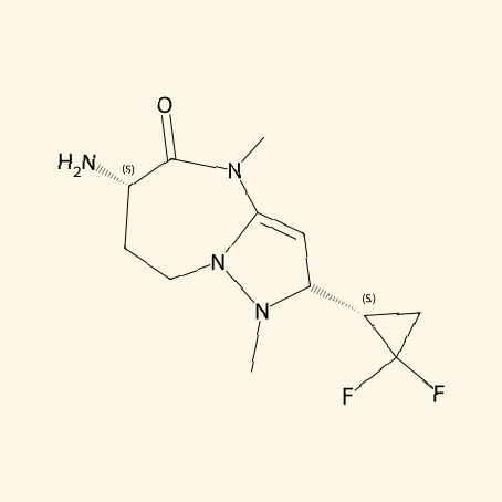 CN1C(=O)[C@@H](N)CCN2C1=CC([C@@H]1CC1(F)F)N2C